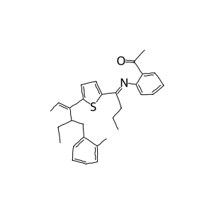 C/C=C(/c1ccc(/C(CCC)=N/c2ccccc2C(C)=O)s1)C(CC)Cc1ccccc1C